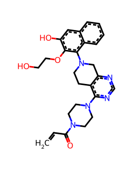 C=CC(=O)N1CCN(c2ncnc3c2CCN(c2c(OCCO)c(O)cc4ccccc24)C3)CC1